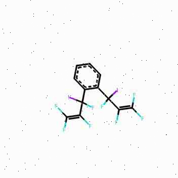 FC(F)=C(F)C(F)(I)c1ccccc1C(F)(I)C(F)=C(F)F